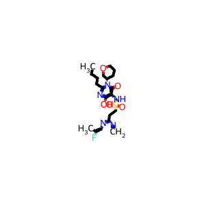 C=N/C(CCS(=O)(=O)Nc1c(O)nc(CCCC)n([C@H]2CCCOC2)c1=O)=N\C=C(/C)F